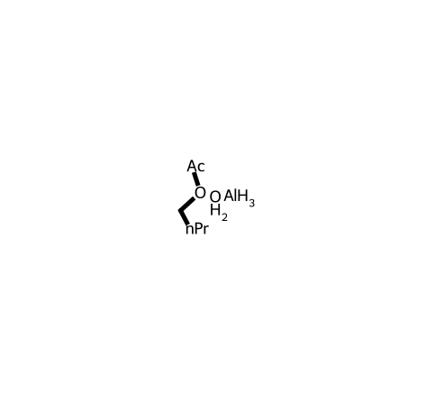 CCCCOC(C)=O.O.[AlH3]